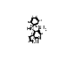 Nc1cnc2[nH]ccc2c1Nc1ccccc1